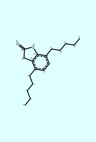 CCCCCc1ccc(CCCCC)c2c1CC(=O)O2